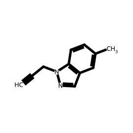 C#CCn1ncc2cc(C)ccc21